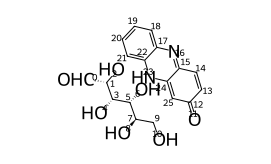 O=C[C@H](O)[C@@H](O)[C@H](O)[C@H](O)CO.O=c1ccc2nc3ccccc3[nH]c-2c1